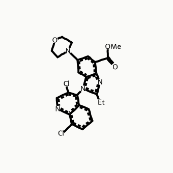 CCc1nc2c(C(=O)OC)cc(N3CCOCC3)cc2n1-c1c(Cl)cnc2c(Cl)cccc12